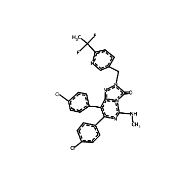 CNc1nc(-c2ccc(Cl)cc2)c(-c2ccc(Cl)cc2)c2nn(Cc3ccc(C(C)(F)F)nc3)c(=O)n12